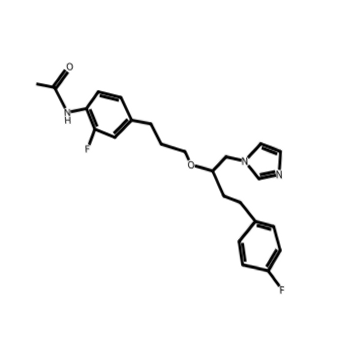 CC(=O)Nc1ccc(CCCOC(CCc2ccc(F)cc2)Cn2ccnc2)cc1F